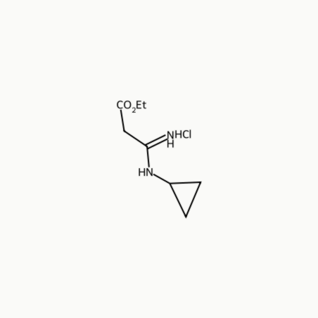 CCOC(=O)CC(=N)NC1CC1.Cl